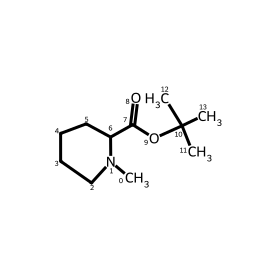 CN1CCCCC1C(=O)OC(C)(C)C